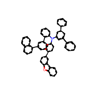 c1ccc(-c2cc(-c3ccccc3)cc(N(c3ccc(-c4ccc5oc6ccccc6c5c4)cc3)c3ccccc3-c3cccc(-c4cccc5ccccc45)c3)c2)cc1